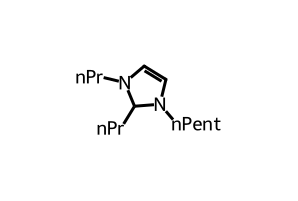 CCCCCN1C=CN(CCC)C1CCC